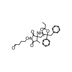 CCC(=O)OC(Cc1ccccc1)(c1ccccc1)C(C)CC1(N)C(=O)N(OCCCC=O)C(=O)C1C